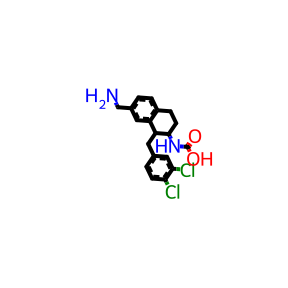 NCc1ccc2c(c1)C(Cc1ccc(Cl)c(Cl)c1)C(NC(=O)O)CC2